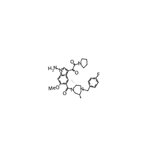 COc1cc2c(cc1C(=O)N1C[C@H](C)N(Cc3ccc(F)cc3)C[C@H]1C)c(C(=O)C(=O)N1CCCC1)cn2N